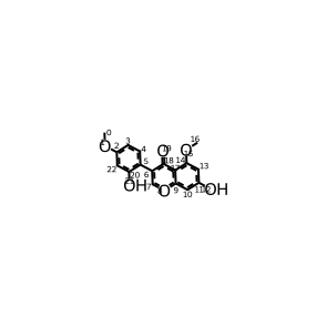 COc1ccc(-c2coc3cc(O)cc(OC)c3c2=O)c(O)c1